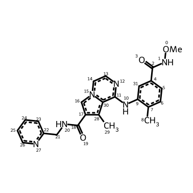 CONC(=O)c1ccc(C)c(Nc2nccn3cc(C(=O)NCc4ccccn4)c(C)c23)c1